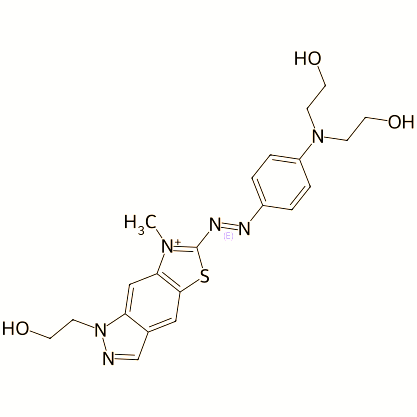 C[n+]1c(/N=N/c2ccc(N(CCO)CCO)cc2)sc2cc3cnn(CCO)c3cc21